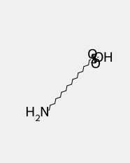 NCCCCCCCCCCCCCCCCS(=O)(=O)O